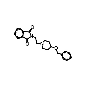 O=C1c2ccccc2C(=O)N1CCN1CCC(OCc2ccccc2)CC1